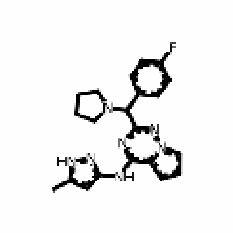 Cc1cc(Nc2nc(C(c3ccc(F)cc3)N3CCCC3)nn3cccc23)n[nH]1